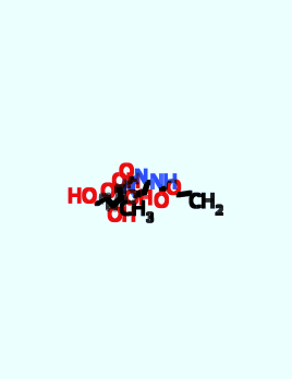 C=CCOC(=O)Nc1ccn([C@]2(O)O[C@H](CO)[C@@H](O)[C@@]2(C)O)c(=O)n1